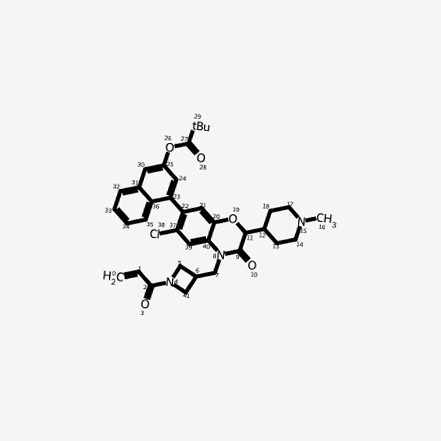 C=CC(=O)N1CC(CN2C(=O)C(C3CCN(C)CC3)Oc3cc(-c4cc(OC(=O)C(C)(C)C)cc5ccccc45)c(Cl)cc32)C1